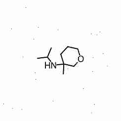 CC(C)NC1(C)CCCOC1